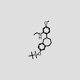 CCNc1cc(OC)ccc1C1CCCc2cc(O[Si](C)(C)C(C)(C)C)ccc2C1